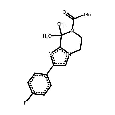 CC(C)(C)C(=O)N1CCn2cc(-c3ccc(F)cc3)nc2C1(C)C